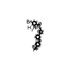 Nc1cc(Br)ccc1C(=O)NCC1CCC(c2cccc(Oc3ccc(C(F)(F)F)cc3)c2)O1